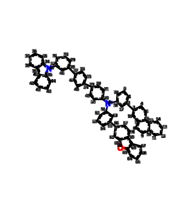 c1cc(-c2ccc3c(ccc4ccccc43)c2)cc(N(c2ccc(-c3ccc(-c4cccc(-n5c6ccccc6c6ccccc65)c4)cc3)cc2)c2cccc(-c3ccc4c(c3)oc3ccccc34)c2)c1